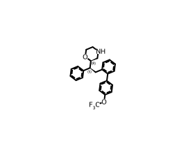 FC(F)(F)Oc1ccc(-c2ccccc2C[C@@H](c2ccccc2)[C@@H]2CNCCO2)cc1